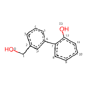 OCc1cccc(-c2cc[c]cc2O)c1